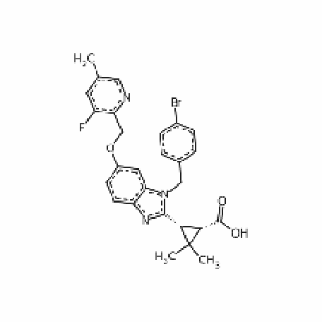 Cc1cnc(COc2ccc3nc([C@@H]4[C@H](C(=O)O)C4(C)C)n(Cc4ccc(Br)cc4)c3c2)c(F)c1